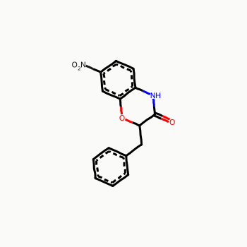 O=C1Nc2ccc([N+](=O)[O-])cc2OC1Cc1ccccc1